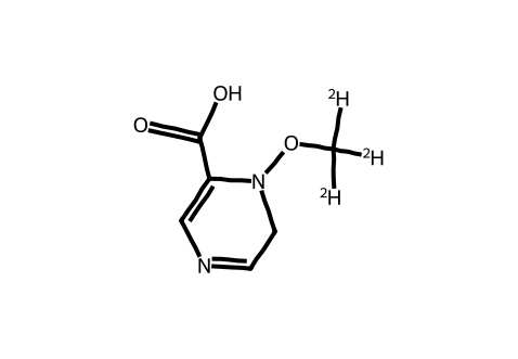 [2H]C([2H])([2H])ON1CC=NC=C1C(=O)O